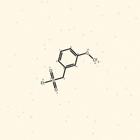 CCS(=O)(=O)Cc1cccc(OC(F)(F)F)c1